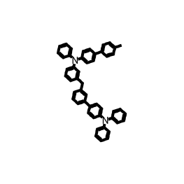 Cc1ccc(-c2ccc(N(c3ccccc3)c3cccc(Cc4cccc(-c5ccc(N(c6ccccc6)c6ccccc6)cc5)c4)c3)cc2)cc1